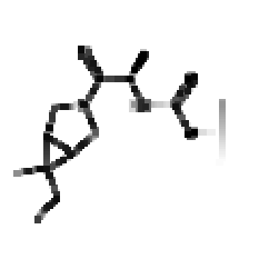 CCC1(C)C2CN(C(=O)[C@@H](C)NC(=O)OC(C)(C)C)CC21